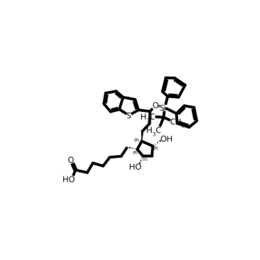 CC(C)(C)[Si](OC(CC[C@@H]1[C@@H](CCCCCCC(=O)O)[C@@H](O)C[C@H]1O)c1cc2ccccc2s1)(c1ccccc1)c1ccccc1